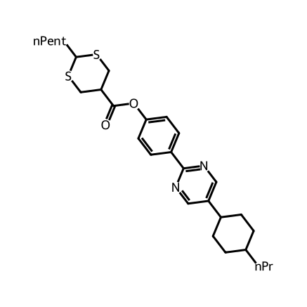 CCCCCC1SCC(C(=O)Oc2ccc(-c3ncc(C4CCC(CCC)CC4)cn3)cc2)CS1